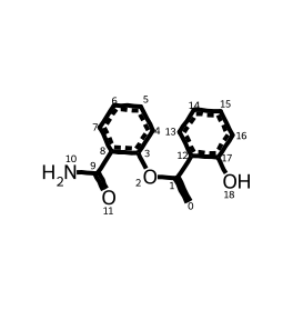 C=C(Oc1ccccc1C(N)=O)c1ccccc1O